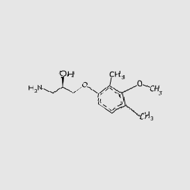 COc1c(C)ccc(OC[C@H](O)CN)c1C